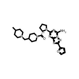 CC1CCN(CC2CCN(C(=O)[C@@H]3CCCN3c3nc(N)n4nc(-c5ccco5)nc4n3)CC2)CC1